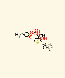 C=C(C)CCCC(C)(O)C1(CCC2(COS(=O)(=O)c3ccc(C)cc3)OCCO2)CCCSS1